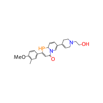 COc1ccc(C2=CC(=O)N3C=C(C4=CCN(CCO)CC4)C=CC3P2)cc1C